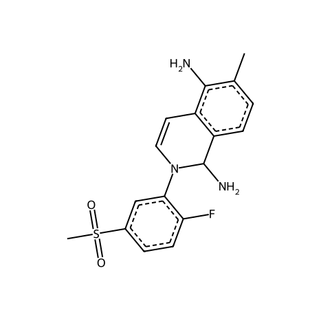 Cc1ccc2c(c1N)C=CN(c1cc(S(C)(=O)=O)ccc1F)C2N